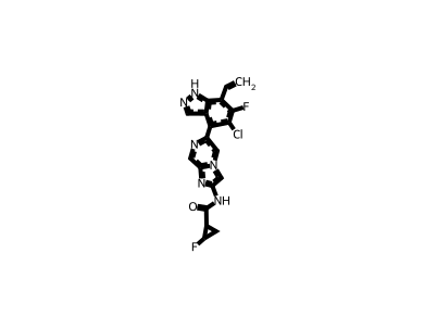 C=Cc1c(F)c(Cl)c(-c2cn3cc(NC(=O)C4CC4F)nc3cn2)c2cn[nH]c12